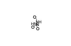 c1ccc(CCNC2=NC(c3ccccc3)C(c3ccccc3)N2)cc1